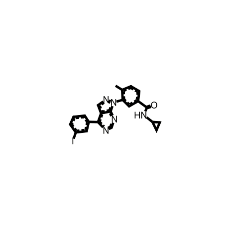 Cc1ccc(C(=O)NC2CC2)cc1-n1ncc2c(-c3cccc(I)c3)ncnc21